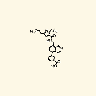 CCCc1cc(C(=O)NCc2ccc(-c3cccc(C(=O)O)c3)c3ccncc23)n(C)n1